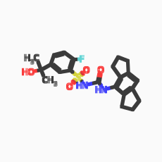 CC(C)(O)c1ccc(F)c(S(=O)(=O)NC(=O)Nc2c3c(cc4c2CCC4)CCC3)c1